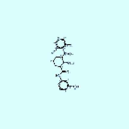 CCCC[C@H]1C(C(=O)Nc2cccc(C(C)(C)C)c2)CCCN1C(=O)c1c(C)cccc1F